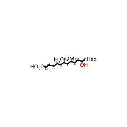 CCCCCCC(O)CCCCCCCCCCC(=O)O.COC